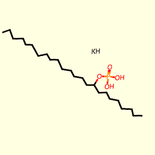 CCCCCCCCCCCCCCCC(CCCCCCCC)OP(=O)(O)O.[KH]